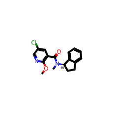 COc1ncc(Cl)cc1C(=O)N(C)[C@@H]1CCc2ccccc21